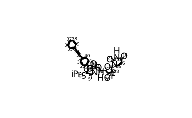 CC(C)SC(=O)[C@H](C)NP(=O)(OC[C@H]1O[C@@H](n2ccc(=O)[nH]c2=O)[C@](C)(F)[C@@H]1O)Oc1ccc(C#Cc2ccccc2)cc1